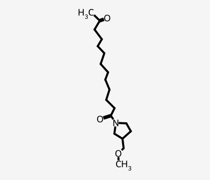 COCC1CCN(C(=O)CCCCCCCCCCC(C)=O)C1